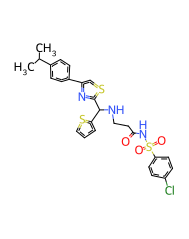 CC(C)c1ccc(-c2csc(C(NCCC(=O)NS(=O)(=O)c3ccc(Cl)cc3)c3cccs3)n2)cc1